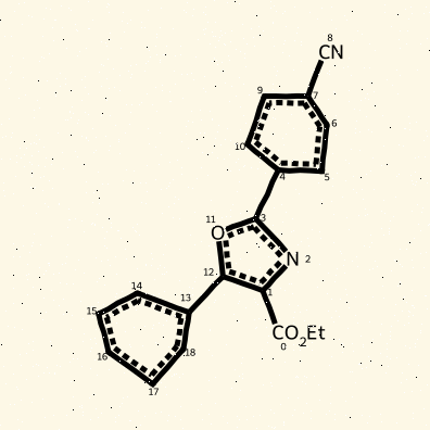 CCOC(=O)c1nc(-c2ccc(C#N)cc2)oc1-c1ccccc1